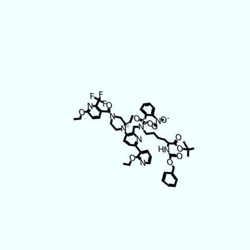 CCOc1ccc(C(=O)N2CCN(c3ccc(-c4cccnc4OCC)nc3CN(CCCCC(NC(=O)OCc3ccccc3)C(=O)OC(C)(C)C)S(=O)(=O)c3ccccc3[N+](=O)[O-])[C@H](CC)C2)c(C(F)(F)F)n1